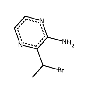 CC(Br)c1nccnc1N